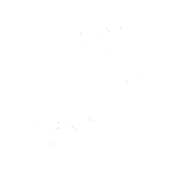 O=c1nc(OCc2cc(F)c(Oc3ccnc(C4CC4)c3)c(F)c2)cc2n1C[C@H]1CCCN21